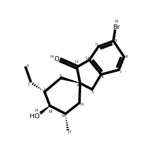 CC[C@@H]1C[C@@]2(Cc3ccc(Br)cc3C2=O)C[C@H](C)[C@H]1O